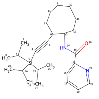 CC(C)[Si](C#CC1CCCCCCC1NC(=O)c1ccccn1)(C(C)C)C(C)C